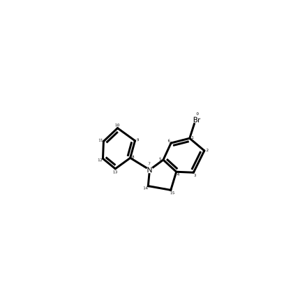 Brc1ccc2c(c1)N(c1ccccc1)CC2